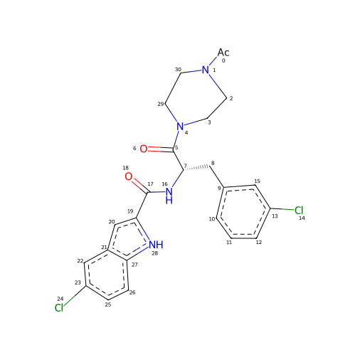 CC(=O)N1CCN(C(=O)[C@H](Cc2cccc(Cl)c2)NC(=O)c2cc3cc(Cl)ccc3[nH]2)CC1